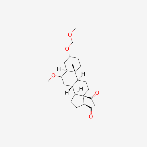 COCO[C@@H]1CC[C@@]2(C)[C@H](C1)C(OC)C[C@@H]1[C@@H]2CC[C@]2(C(C)=O)[C@@H](C=O)CC[C@@H]12